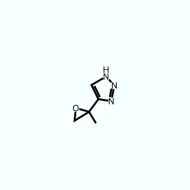 CC1(c2c[nH]nn2)CO1